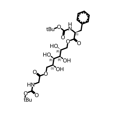 CC(C)(C)OC(=O)NCC(=O)OC[C@H](O)[C@@H](O)[C@H](O)[C@H](O)COC(=O)[C@H](Cc1ccccc1)NC(=O)OC(C)(C)C